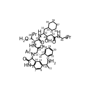 CC(=O)N(C1C(=O)Nc2ccc(C(C)N)cc21)[C@@H](Cc1ccccc1)C(=O)N[C@@H](CC(C)C)C(=O)NC(CC1CCCCC1)C(O)CC(=O)NCC(C)C.O